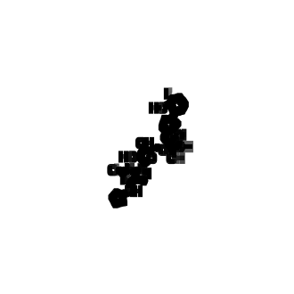 O=P(O)(O)C(CO)(Cc1ccc(-c2cccc(F)c2O)cc1)OC[C@H]1O[C@@H](n2ncc3c(NC4CCCC4)nc(Cl)nc32)[C@H](O)[C@@H]1O